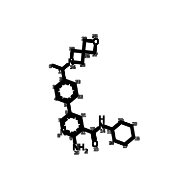 CC(c1ccc(-c2cnc(N)c(C(=O)NC3CCCCC3)c2)cc1)N1CC2(COC2)C1